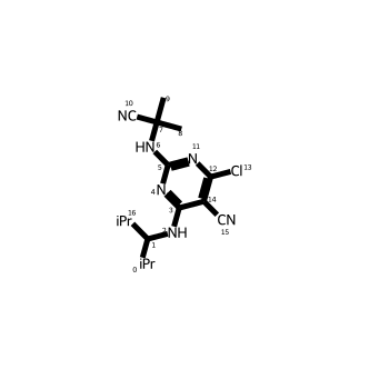 CC(C)C(Nc1nc(NC(C)(C)C#N)nc(Cl)c1C#N)C(C)C